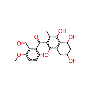 COc1cccc(C(=O)c2c(C)c(O)c3c(c2O)CC(O)CC3O)c1C=O